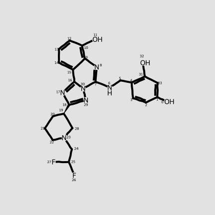 Oc1ccc(CNc2nc3c(O)cccc3c3nc([C@@H]4CCCN(CC(F)F)C4)nn23)c(O)c1